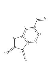 C=Cc1ccc2c(c1)CC(=O)C2=O